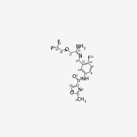 Cc1nc(C(=O)Nc2ccc(F)c(C/N=C(/N)COCC(F)F)c2)co1